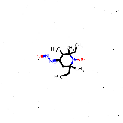 CCC1(C)C/C(=N/N=O)C(C)C(C)(CC)N1O